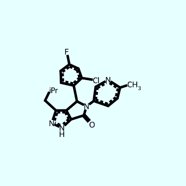 Cc1ccc(N2C(=O)c3[nH]nc(CC(C)C)c3C2c2ccc(F)cc2Cl)cn1